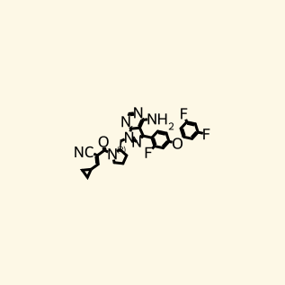 N#CC(=CC1CC1)C(=O)N1CCC[C@@H]1Cn1nc(-c2ccc(Oc3cc(F)cc(F)c3)cc2F)c2c(N)ncnc21